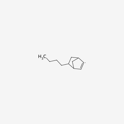 CCCCC1CC2[C]=CC1C2